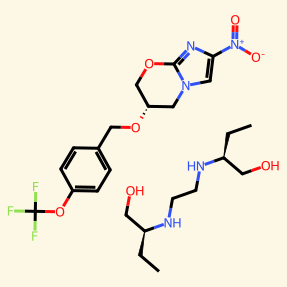 CC[C@@H](CO)NCCN[C@@H](CC)CO.O=[N+]([O-])c1cn2c(n1)OC[C@@H](OCc1ccc(OC(F)(F)F)cc1)C2